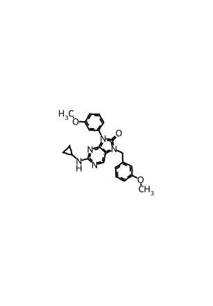 COc1cccc(Cn2c(=O)n(-c3cccc(OC)c3)c3nc(NC4CC4)ncc32)c1